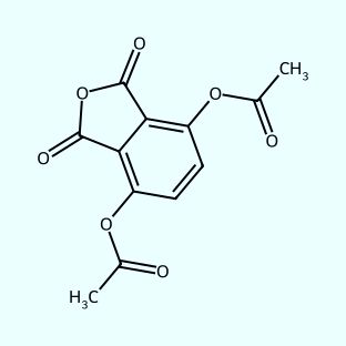 CC(=O)Oc1ccc(OC(C)=O)c2c1C(=O)OC2=O